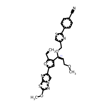 C=Cc1oc(-c2cn3nc(OC)sc3n2)cc1/C(=C\COC)OCc1csc(-c2ccc(C#N)cc2)n1